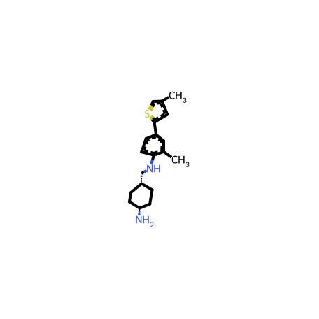 Cc1csc(-c2ccc(NC[C@H]3CC[C@H](N)CC3)c(C)c2)c1